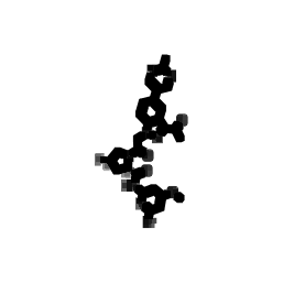 COc1cc(Br)nc(NC(=O)[C@@H]2C[C@@H](F)CN2C(=O)Cn2nc(C(C)=O)c3cc(-c4cnc(C)nc4)ccc32)c1